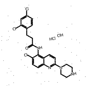 Cl.Cl.O=C(CCc1ccc(Cl)cc1Cl)Nc1c(Cl)ccc2nc(N3CCNCC3)ccc12